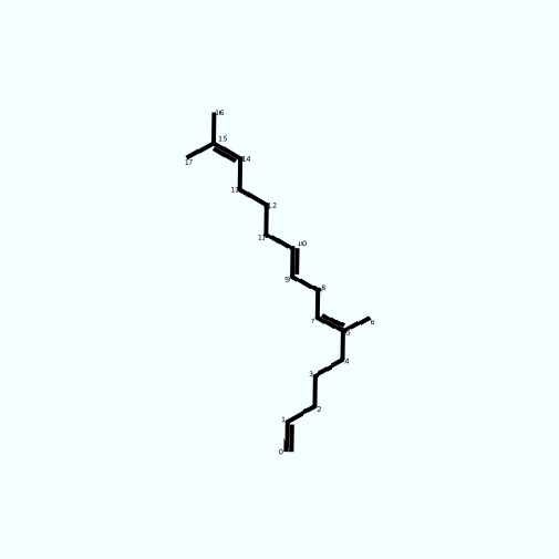 C=CCCCC(C)=CCC=CCCCC=C(C)C